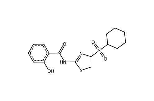 O=C(NC1=NC(S(=O)(=O)C2CCCCC2)CS1)c1ccccc1O